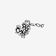 CSCC[C@H](NC(=O)c1ccc(CN(C)C(C)(C)CC2CCCCC2)cc1-c1ccccc1C)C(=O)[O-].[Li+]